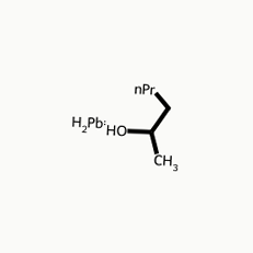 CCCCC(C)O.[PbH2]